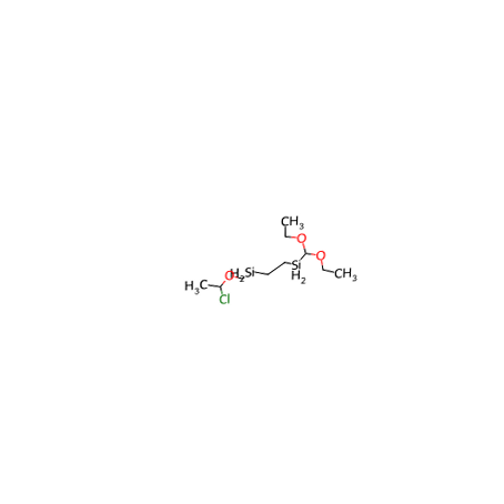 CCOC(OCC)[SiH2]CC[SiH2]COC(C)Cl